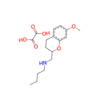 CCCCNCC1CCc2ccc(OC)cc2O1.O=C(O)C(=O)O